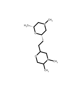 CC1COC(CC[C@H]2CN(C)C[C@@H](C)O2)CN1C